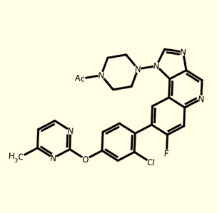 CC(=O)N1CCN(n2cnc3cnc4cc(F)c(-c5ccc(Oc6nccc(C)n6)cc5Cl)cc4c32)CC1